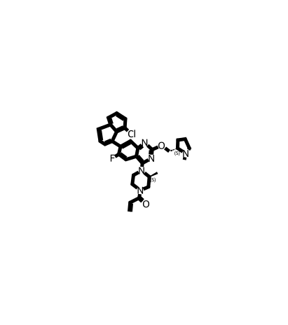 C=CC(=O)N1CCN(c2nc(OC[C@@H]3CCCN3C)nc3cc(-c4cccc5cccc(Cl)c45)c(F)cc23)[C@@H](C)C1